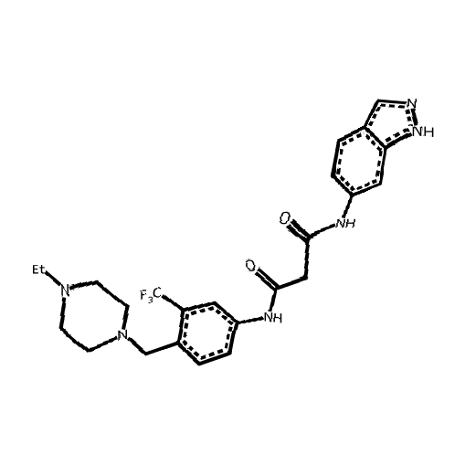 CCN1CCN(Cc2ccc(NC(=O)CC(=O)Nc3ccc4cn[nH]c4c3)cc2C(F)(F)F)CC1